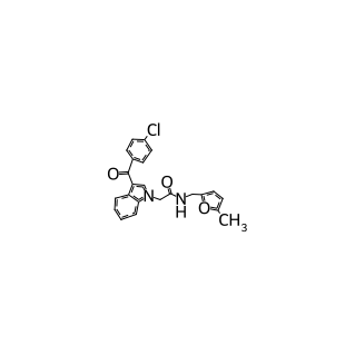 Cc1ccc(CNC(=O)Cn2cc(C(=O)c3ccc(Cl)cc3)c3ccccc32)o1